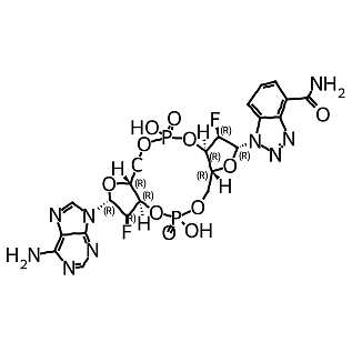 NC(=O)c1cccc2c1nnn2[C@@H]1O[C@@H]2COP(=O)(O)O[C@H]3[C@@H](F)[C@H](n4cnc5c(N)ncnc54)O[C@@H]3COP(=O)(O)O[C@H]2[C@H]1F